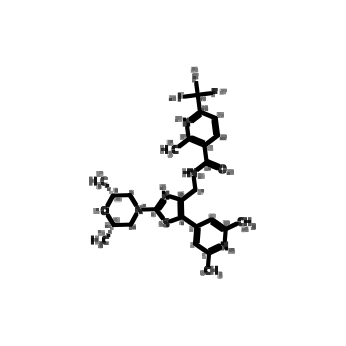 Cc1cc(-c2sc(N3C[C@@H](C)O[C@@H](C)C3)nc2CNC(=O)c2ccc(C(F)(F)F)nc2C)cc(C)n1